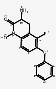 N[C@H]1Cc2c(ccc(Oc3ccccc3)c2F)N(O)C1=O